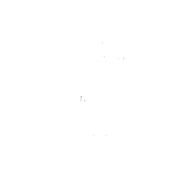 COC(=O)c1cc2c3ccccc3n(-c3ccccc3)c2s1